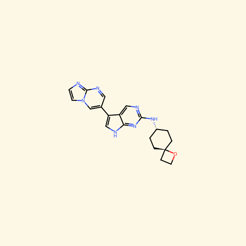 c1cn2cc(-c3c[nH]c4nc(N[C@H]5CC[C@@]6(CCO6)CC5)ncc34)cnc2n1